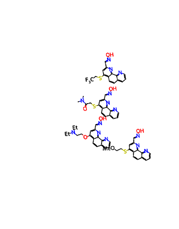 CCN(CC)CCOc1cc(C=NO)nc2c1ccc1cccnc12.CN(C)C(=O)CSc1cc(C=NO)nc2c1ccc1cccnc12.COCCSc1cc(C=NO)nc2c1ccc1cccnc12.ON=Cc1cc(SCC(F)(F)F)c2ccc3cccnc3c2n1